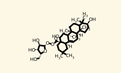 CC1(C)CC[C@]2(C(=O)OO[C@@H]3O[C@H](CO)[C@H](O)[C@H]3O)[C@H](O)C[C@]3(C)C(=CC[C@@H]4[C@@]5(C)CC[C@H](O)C(C)(C)C5CC[C@]43C)[C@H]2C1